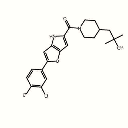 CC(C)(O)CC1CCN(C(=O)c2cc3oc(-c4ccc(Cl)c(Cl)c4)cc3[nH]2)CC1